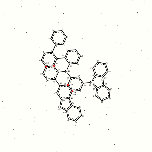 c1ccc(-c2ccccc2-c2ccccc2N(c2cccc(-n3c4ccccc4c4ccccc43)c2)c2ccccc2-c2ccc3c(c2)oc2ccccc23)cc1